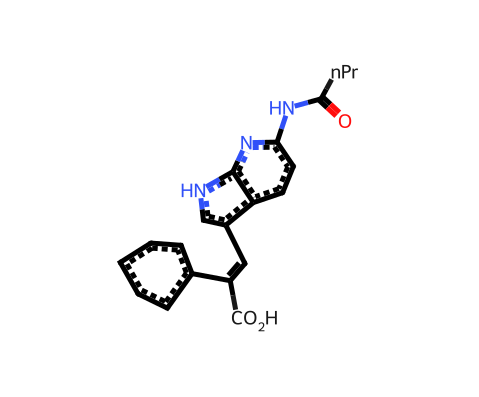 CCCC(=O)Nc1ccc2c(C=C(C(=O)O)c3ccccc3)c[nH]c2n1